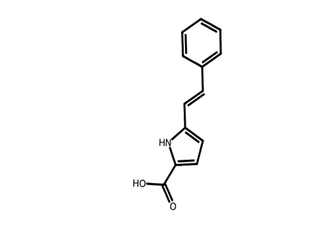 O=C(O)c1ccc(C=Cc2ccccc2)[nH]1